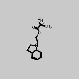 C=C(C)C(=O)OCCN1CCC2C=CC=CC21